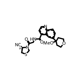 COC1(c2ccc3nccc(C(=O)NCC(=O)N4CSC[C@H]4C#N)c3c2)CCOCC1